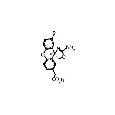 NC1=N[C@]2(CO1)c1cc(Br)ccc1Oc1ccc(CC(=O)O)cc12